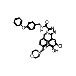 O=C(NCc1ccc(Oc2ccccc2)cc1)c1nnc(-c2cc(Cl)c(O)c(Cl)c2)n1Cc1ccc(CN2CCOCC2)cc1